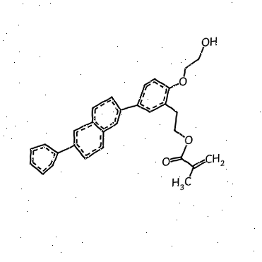 C=C(C)C(=O)OCCc1cc(-c2ccc3cc(-c4ccccc4)ccc3c2)ccc1OCCO